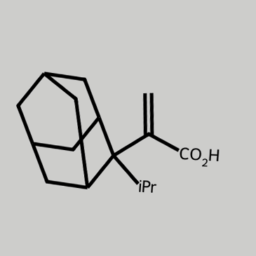 C=C(C(=O)O)C1(C(C)C)C2CC3CC(C2)CC1C3